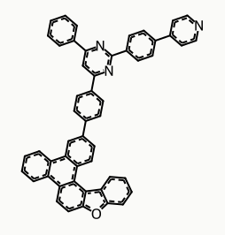 c1ccc(-c2cc(-c3ccc(-c4ccc5c(c4)c4ccccc4c4ccc6oc7ccccc7c6c45)cc3)nc(-c3ccc(-c4ccncc4)cc3)n2)cc1